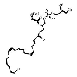 CC/C=C\C/C=C\C/C=C\C/C=C\C/C=C\CCCC(=O)OC[C@H](COP(=O)(O)OC[C@@H](O)CO)OC(=O)CCCCCCCCCCC